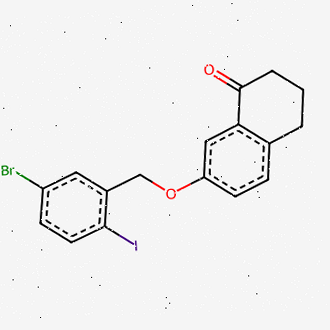 O=C1CCCc2ccc(OCc3cc(Br)ccc3I)cc21